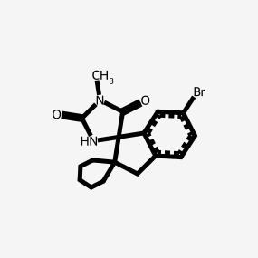 CN1C(=O)NC2(C1=O)c1cc(Br)ccc1CC21CCCCC1